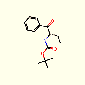 CC[C@H](NC(=O)OC(C)(C)C)C(=O)c1ccccc1